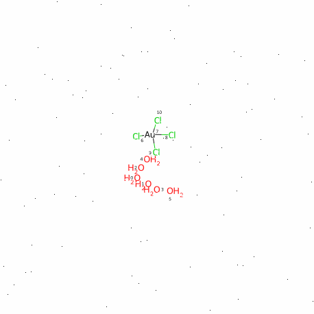 O.O.O.O.O.O.[Cl][Au]([Cl])([Cl])[Cl]